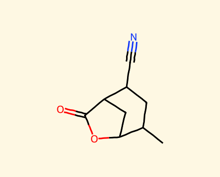 CC1CC(C#N)C2CC1OC2=O